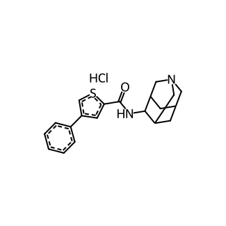 Cl.O=C(NC1C2CC3CC1CN(C3)C2)c1cc(-c2ccccc2)cs1